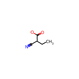 CCC(C#N)C([O])=O